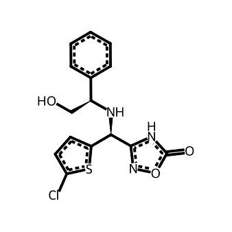 O=c1[nH]c([C@H](N[C@@H](CO)c2ccccc2)c2ccc(Cl)s2)no1